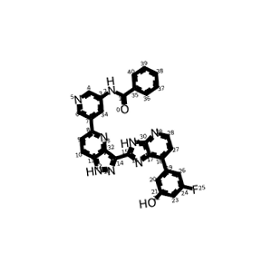 O=C(Nc1cncc(-c2ccc3[nH]nc(-c4nc5c(-c6cc(O)cc(F)c6)ccnc5[nH]4)c3n2)c1)c1ccccc1